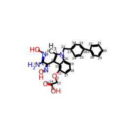 Cc1c(C(=NO)C(N)=NO)c2c(OCC(=O)O)cccc2n1Cc1ccc(-c2ccccc2)cc1